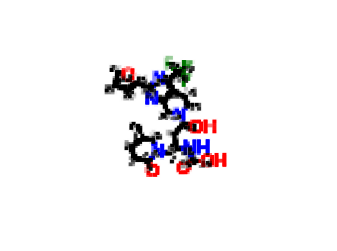 C[C@@H]1CCC(=O)N(C[C@H](CC(O)N2CCc3c(nc(-c4ccco4)nc3C(F)(F)F)C2)NC(=O)O)C1